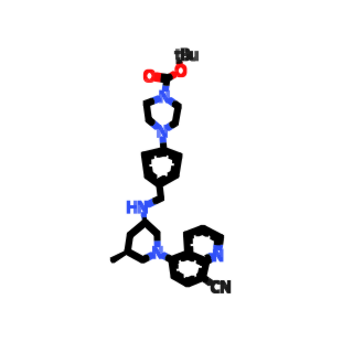 C[C@H]1C[C@@H](NCc2ccc(N3CCN(C(=O)OC(C)(C)C)CC3)cc2)CN(c2ccc(C#N)c3ncccc23)C1